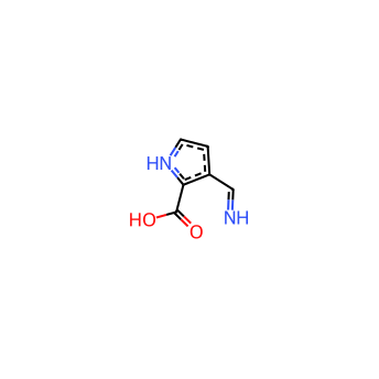 N=Cc1cc[nH]c1C(=O)O